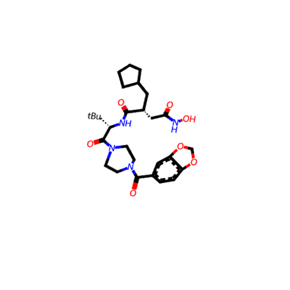 CC(C)(C)[C@H](NC(=O)[C@@H](CC(=O)NO)CC1CCCC1)C(=O)N1CCN(C(=O)c2ccc3c(c2)OCO3)CC1